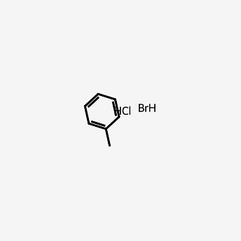 Br.Cc1ccccc1.Cl